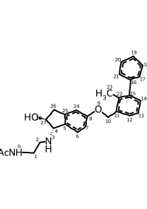 CC(=O)NCCN[C@H]1c2ccc(OCc3cccc(-c4ccccc4)c3C)cc2C[C@@H]1O